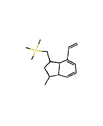 C=CC1=CC=CC2C(C)CC(CS(C)(C)C)C12